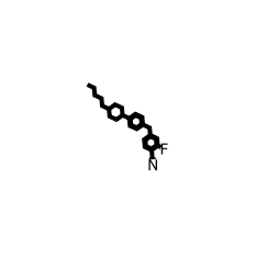 CCCCCC1CCC(c2ccc(Cc3ccc(C#N)c(F)c3)cc2)CC1